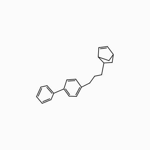 C1=CC2CC1CC2CCCc1ccc(-c2ccccc2)cc1